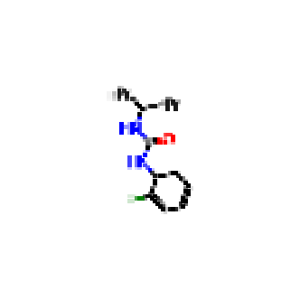 CCCC(CCC)NC(=O)NC1CC=CC=C1F